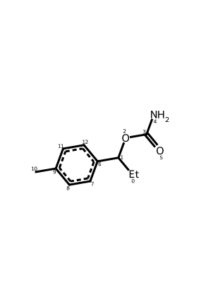 CCC(OC(N)=O)c1ccc(C)cc1